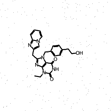 CCn1c(=O)[nH]c(=O)c2c1nc(Cc1cn3ccccc3n1)n2Cc1ccc(CCO)cc1